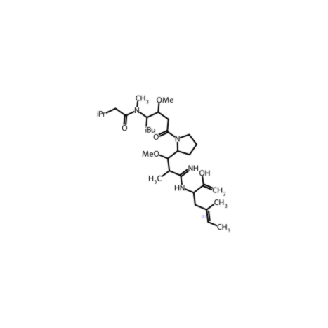 C=C(O)C(C/C(C)=C/C)NC(=N)C(C)C(OC)C1CCCN1C(=O)CC(OC)C(C(C)CC)N(C)C(=O)CC(C)C